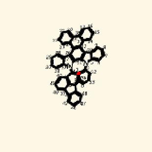 c1ccc(-n2c3ccccc3c3c4c5ccccc5c5ccccc5c4c4c5ccccc5n(-c5ccc6c7c(cccc57)-c5ccccc5-6)c4c32)cc1